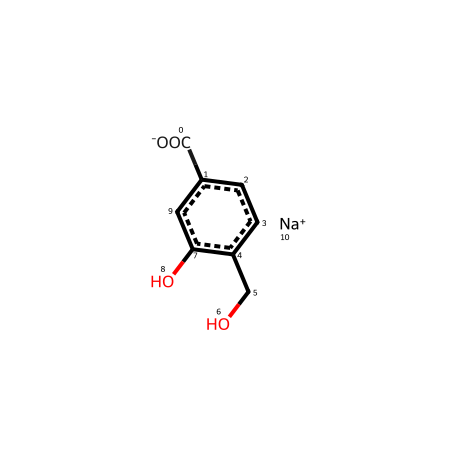 O=C([O-])c1ccc(CO)c(O)c1.[Na+]